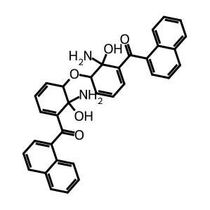 NC1(O)C(C(=O)c2cccc3ccccc23)=CC=CC1OC1C=CC=C(C(=O)c2cccc3ccccc23)C1(N)O